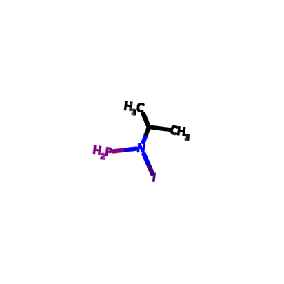 CC(C)N(P)I